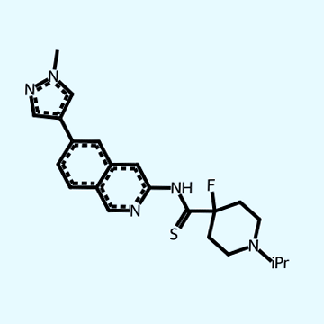 CC(C)N1CCC(F)(C(=S)Nc2cc3cc(-c4cnn(C)c4)ccc3cn2)CC1